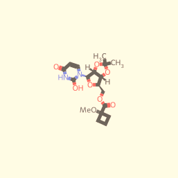 COC1(C(=O)OC[C@H]2O[C@@H](N3C=CC(=O)NC3O)[C@@H]3OC(C)(C)O[C@@H]32)CCC1